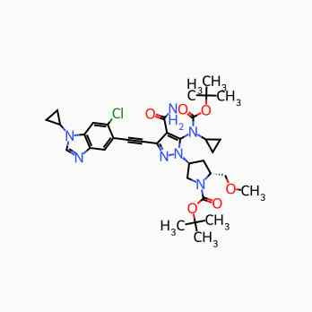 COC[C@H]1C[C@H](n2nc(C#Cc3cc4ncn(C5CC5)c4cc3Cl)c(C(N)=O)c2N(C(=O)OC(C)(C)C)C2CC2)CN1C(=O)OC(C)(C)C